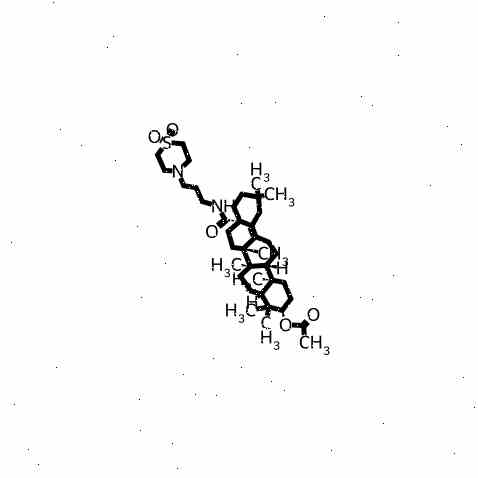 CC(=O)O[C@H]1CC[C@]2(C)[C@H]3CCC4=C5CC(C)(C)CC[C@]5(C(=O)NCCCN5CCS(=O)(=O)CC5)CC[C@@]4(C)[C@]3(C)CC[C@H]2C1(C)C